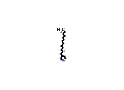 CCCCCCCCCCCC[CH]c1ccncc1